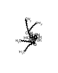 CCCCCCCCCCC(CCCCCCCCCC)C(=O)NCC1O[C@H](O[C@H]2OC(CNC(=O)C(CCCCCCCCCC)CCCCCCCCCC)[C@@H](O)[C@H](O)C2O)C(O)[C@@H](O)[C@@H]1O